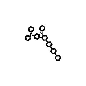 C1=CCCC(C2=CC=C(C3=CC=C(C4CC=C5C(C4)c4ccc(N(c6ccccc6)c6ccccc6)cc4N5C4=CCCC=C4)CC3)CC2)=C1